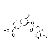 CC(C)(C)OC(=O)Oc1cc2c(cc1F)CCN(C(=O)O)C2